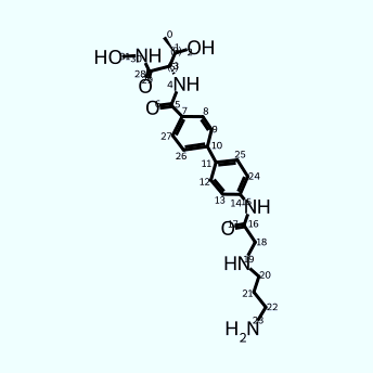 C[C@@H](O)[C@H](NC(=O)c1ccc(-c2ccc(NC(=O)CNCCCN)cc2)cc1)C(=O)NO